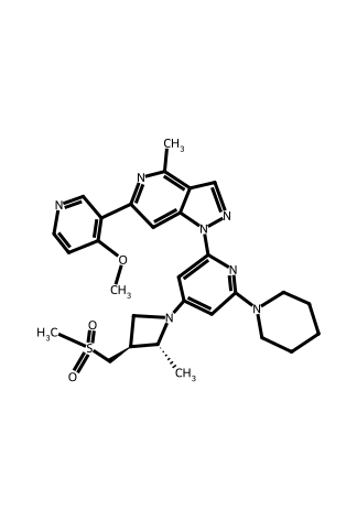 COc1ccncc1-c1cc2c(cnn2-c2cc(N3C[C@H](CS(C)(=O)=O)[C@H]3C)cc(N3CCCCC3)n2)c(C)n1